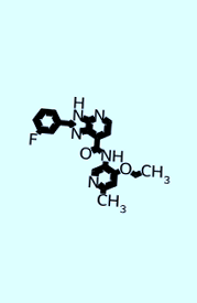 CCOc1cc(C)ncc1NC(=O)c1ccnc2[nH]c(-c3cccc(F)c3)nc12